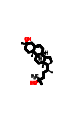 C[C@H](CCC(C)(O)C(F)(F)F)[C@H]1CCC2[C@@H]3CC=C4C[C@@](C)(O)CC[C@]4(C)[C@H]3CC[C@@]21C